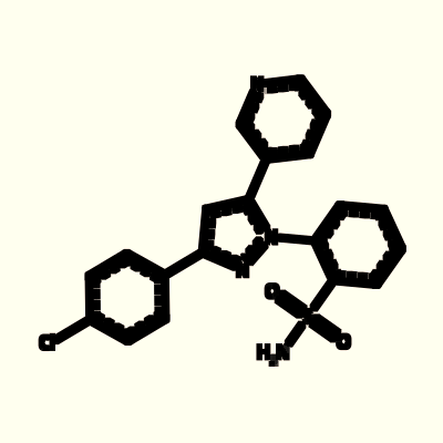 NS(=O)(=O)c1ccccc1-n1nc(-c2ccc(Cl)cc2)cc1-c1cccnc1